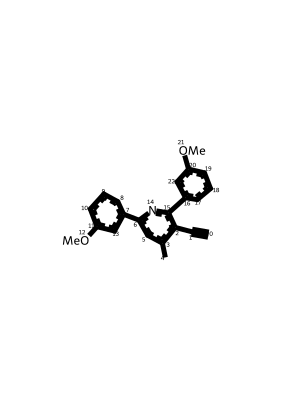 C#Cc1c(C)cc(-c2cccc(OC)c2)nc1-c1cccc(OC)c1